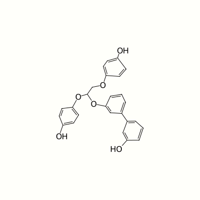 Oc1ccc(OCC(Oc2ccc(O)cc2)Oc2cccc(-c3cccc(O)c3)c2)cc1